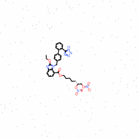 CCOc1nc2cccc(C(=O)OCCCCC[C@H](CO[N+](=O)[O-])O[N+](=O)[O-])c2n1Cc1ccc(-c2ccccc2-c2nnn[nH]2)cc1